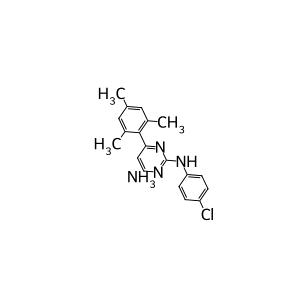 Cc1cc(C)c(-c2ccnc(Nc3ccc(Cl)cc3)n2)c(C)c1.N